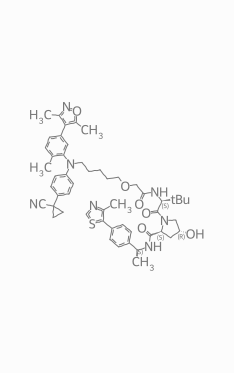 Cc1ccc(-c2c(C)noc2C)cc1N(CCCCCOCC(=O)N[C@H](C(=O)N1C[C@H](O)C[C@H]1C(=O)N[C@@H](C)c1ccc(-c2scnc2C)cc1)C(C)(C)C)c1ccc(C2(C#N)CC2)cc1